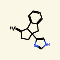 C=C1CCC2(c3c[nH]cn3)Cc3ccccc3C12